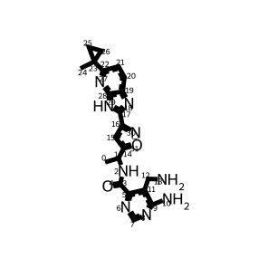 CC(NC(=O)c1ncnc(N)c1CN)c1cc(-c2nc3ccc(C4(C)CC4)nc3[nH]2)no1